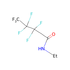 CCNC(=O)C(F)(F)C(F)(F)C(F)(F)F